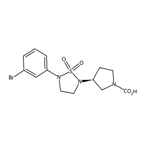 O=C(O)N1CC[C@H](N2CCN(c3cccc(Br)c3)S2(=O)=O)C1